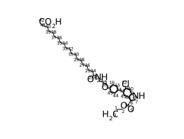 C=CCOC(=O)c1c[nH]c2cc(Cl)c(-c3ccc(OCCNC(=O)CCCCCCCCCCCCCCCCCCC(=O)O)cc3)cc12